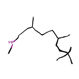 CPCCC(C)CCC(C)CC(C)(C)C